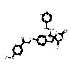 COc1ccc(C(=O)COc2ccc(CC3(C(=O)OCc4ccccc4)SC(=N)NC3=O)cc2)cc1